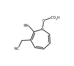 CC(C)(C)C1=C(CC#N)C=CC=CN1OC(=O)O